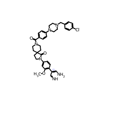 COc1cc(N2CCC3(CCN(C(=O)c4ccc(N5CCN(Cc6ccc(Cl)cc6)CC5)cc4)CC3)C2=O)ccc1/C(C=N)=C/N